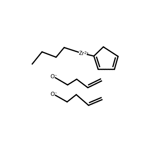 C=CCC[O-].C=CCC[O-].CCC[CH2][Zr+2][C]1=CC=CC1